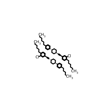 CCCCCCc1ccc(C#C[C@H]2CC[C@H](c3ccc(CCCCC)cc3)CC2)cc1Cl.CCCCCCc1ccc([C@H]2CC[C@H](C#Cc3ccc(CCCCCC)c(Cl)c3)CC2)cc1